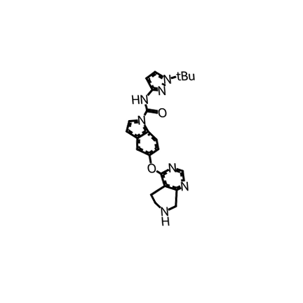 CC(C)(C)n1ccc(NC(=O)n2ccc3cc(Oc4ncnc5c4CCNC5)ccc32)n1